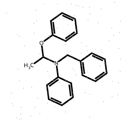 CC(Oc1ccccc1)N(Cc1ccccc1)c1ccccc1